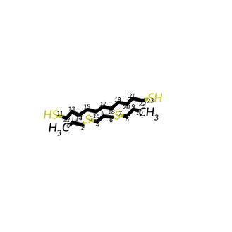 CCCSCCCSCCC.SCCCCCCCCCCCS